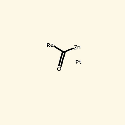 O=[C]([Zn])[Re].[Pt]